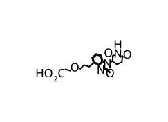 Cn1c(=O)n(C2CCC(=O)NC2=O)c2cccc(CCCOCCC(=O)O)c21